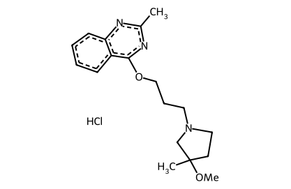 COC1(C)CCN(CCCOc2nc(C)nc3ccccc23)C1.Cl